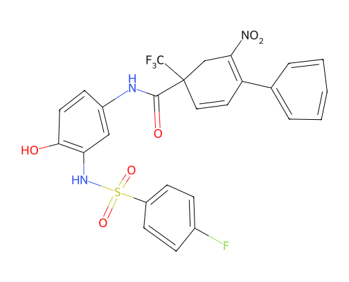 O=C(Nc1ccc(O)c(NS(=O)(=O)c2ccc(F)cc2)c1)C1(C(F)(F)F)C=CC(c2ccccc2)=C([N+](=O)[O-])C1